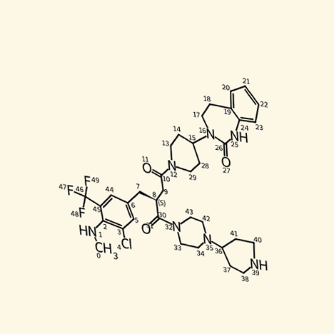 CNc1c(Cl)cc(C[C@@H](CC(=O)N2CCC(N3CCc4ccccc4NC3=O)CC2)C(=O)N2CCN(C3CCNCC3)CC2)cc1C(F)(F)F